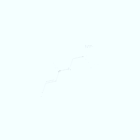 CN[C@@H](CNC(=O)/C=C/C(C)=O)C(=O)O